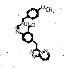 COc1ccc(CN/C=N\c2ccc(Cc3nnc4cccnn34)cc2C=O)cc1